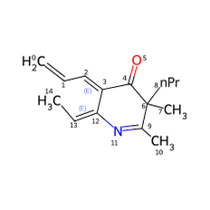 C=C/C=C1/C(=O)C(C)(CCC)C(C)=N/C1=C/C